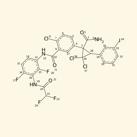 NC(=O)C1(c2ccc(Cl)c(C(=O)Nc3ccc(F)c(NC(=O)C(F)F)c3F)c2)C(c2cccc(I)c2)C1(Cl)Cl